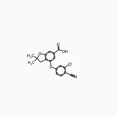 CC1(C)Cc2c(Oc3ccc(C#N)c(Cl)c3)cc(C(=O)O)cc2O1